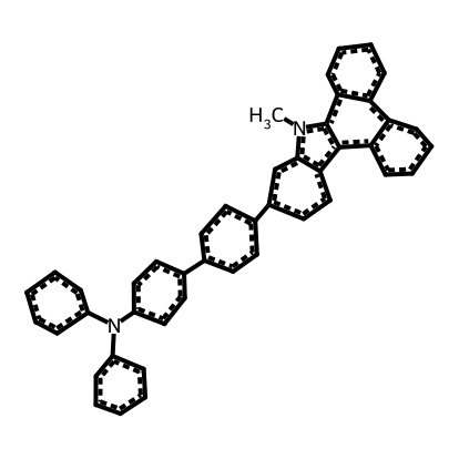 Cn1c2cc(-c3ccc(-c4ccc(N(c5ccccc5)c5ccccc5)cc4)cc3)ccc2c2c3ccccc3c3ccccc3c21